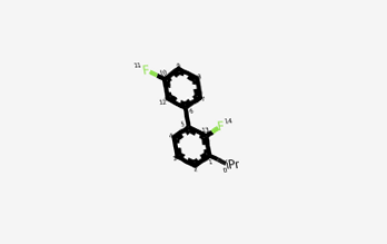 CC(C)c1cccc(-c2cccc(F)c2)c1F